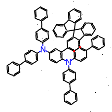 c1ccc(-c2ccc(N(c3ccc(-c4ccccc4)cc3)c3ccc(N(c4ccc(-c5ccccc5)cc4)c4ccc(-c5ccccc5)cc4)c(-c4ccc5c(c4)C4(c6ccccc6-c6ccccc64)c4ccccc4-5)c3)cc2)cc1